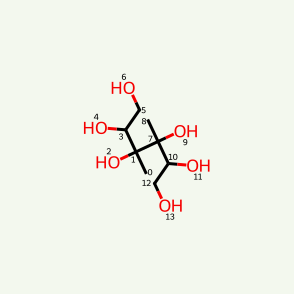 CC(O)(C(O)CO)C(C)(O)C(O)CO